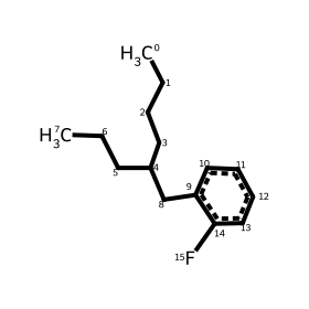 CCCCC(CCC)Cc1ccccc1F